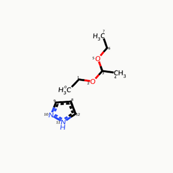 CCOC(C)OCC.c1cn[nH]c1